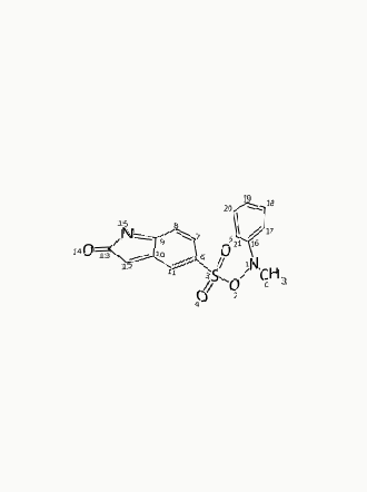 CN(OS(=O)(=O)c1ccc2c(c1)=CC(=O)N=2)c1ccccc1